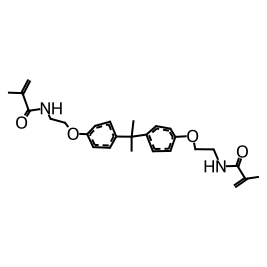 C=C(C)C(=O)NCCOc1ccc(C(C)(C)c2ccc(OCCNC(=O)C(=C)C)cc2)cc1